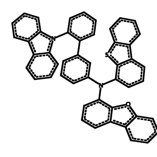 c1cc(-c2ccccc2-n2c3ccccc3c3ccccc32)cc(N(c2cccc3c2oc2ccccc23)c2cccc3c2sc2ccccc23)c1